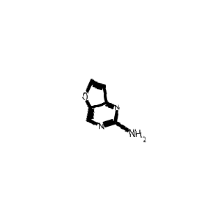 Nc1ncc2occc2n1